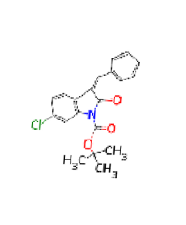 CC(C)(C)OC(=O)N1C(=O)C(=Cc2ccccc2)c2ccc(Cl)cc21